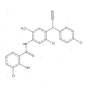 Cc1cc(C(C#N)c2ccc(Cl)cc2)c(Cl)cc1NC(=O)c1cccc(Cl)c1O